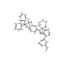 COc1cccc(-c2cccc(C3(C(O)c4ccc(O[Si](c5ccccc5)(c5ccccc5)C(C)(C)C)cc4)SCCCS3)c2)c1